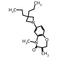 C=C1COc2ccc(N3CC(CCC)(CCC)C3)cc2N(C)C1=O